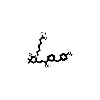 COc1ccc(Cc2cccc(C(O)C=CC3CC(C)(C)C(=O)N3CCCCCCC(=O)O)c2)cc1